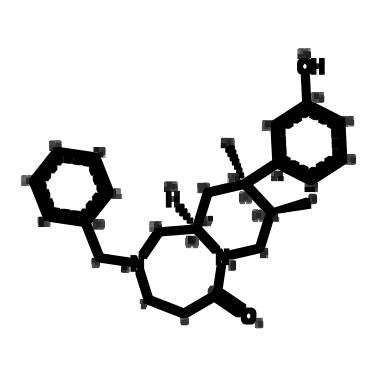 C[C@H]1CN2C(=O)CCN(Cc3ccccc3)C[C@H]2C[C@@]1(C)c1cccc(O)c1